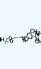 Cc1cc2c(cnn2CCCC2OC(C)O2)cc1/C(N)=N\O